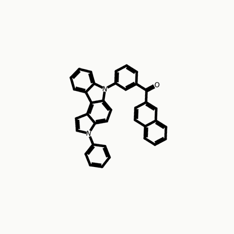 O=C(c1cccc(-n2c3ccccc3c3c4ccn(-c5ccccc5)c4ccc32)c1)c1ccc2ccccc2c1